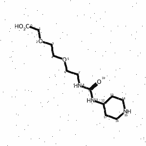 O=C(O)COCCOCCNC(=O)NC1CCNCC1